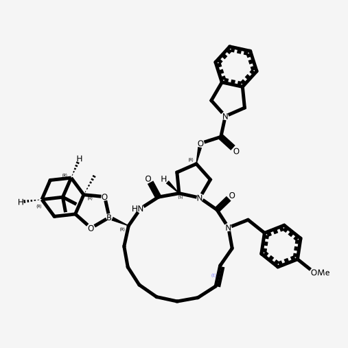 COc1ccc(CN2C/C=C/CCCCCC[C@@H](B3OC4C[C@H]5C[C@H](C5(C)C)[C@@]4(C)O3)NC(=O)[C@@H]3C[C@@H](OC(=O)N4Cc5ccccc5C4)CN3C2=O)cc1